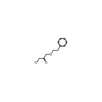 O=C(CCl)COCCc1ccccc1